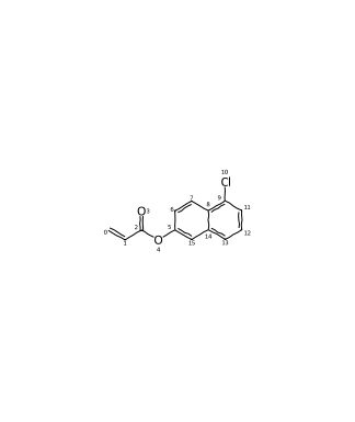 C=CC(=O)Oc1ccc2c(Cl)cccc2c1